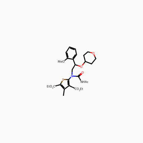 CCOC(=O)c1sc(N(CC(OC2CCOCC2)c2ccccc2OC)C(=O)NC(C)=O)c(C(=O)OCC)c1C